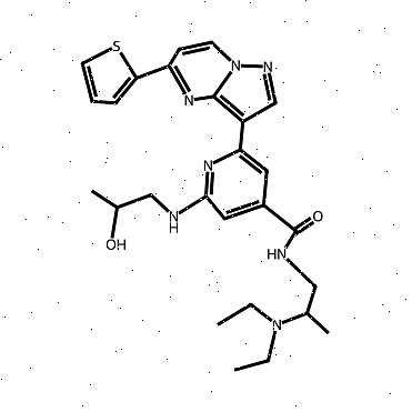 CCN(CC)C(C)CNC(=O)c1cc(NCC(C)O)nc(-c2cnn3ccc(-c4cccs4)nc23)c1